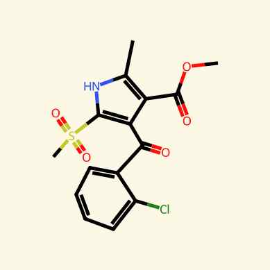 COC(=O)c1c(C)[nH]c(S(C)(=O)=O)c1C(=O)c1ccccc1Cl